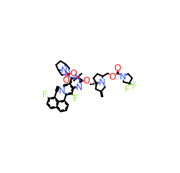 C#Cc1c(F)ccc2cccc(-c3ncc4c(N5CC6CCC(C5)N6C(=O)OC(C)(C)C)nc(OC[C@@]56CCC(COC(=O)N7CCC(F)(F)C7)N5CC(=C)C6)nc4c3F)c12